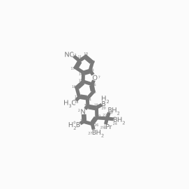 Bc1nc(-c2cc3oc4ccc(C#N)cc4c3cc2C)c(B)c(C(B)(B)C(C)C)c1B